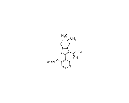 C=C(C)c1c(-c2cnccc2CNC)sc2c1CC(C)(C)CC2